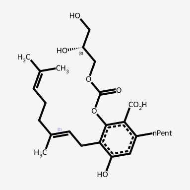 CCCCCc1cc(O)c(C/C=C(\C)CCC=C(C)C)c(OC(=O)OC[C@H](O)CO)c1C(=O)O